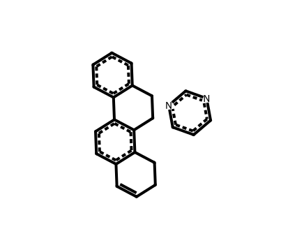 C1=Cc2ccc3c(c2CC1)CCc1ccccc1-3.c1cncnc1